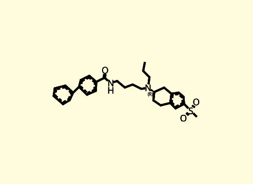 CCCN(CCCCNC(=O)c1ccc(-c2ccccc2)cc1)[C@@H]1CCc2cc(S(C)(=O)=O)ccc2C1